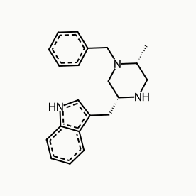 C[C@@H]1CN[C@H](Cc2c[nH]c3ccccc23)CN1Cc1ccccc1